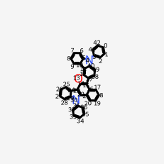 c1ccc(-n2c3ccccc3c3c4oc5c(c6ccccc6c6c5c5ccccc5n6-c5ccccc5)c4ccc32)cc1